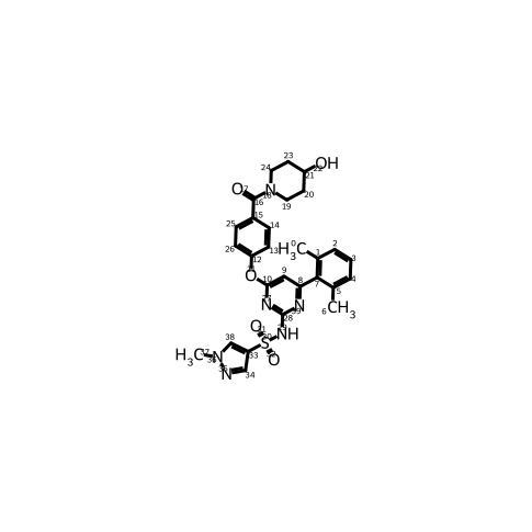 Cc1cccc(C)c1-c1cc(Oc2ccc(C(=O)N3CCC(O)CC3)cc2)nc(NS(=O)(=O)c2cnn(C)c2)n1